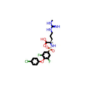 CNC(=N)NCCC[C@@H](NS(=O)(=O)c1cc(F)c(Oc2ccc(Cl)cc2)c(F)c1)C(=O)O